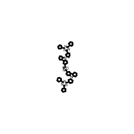 c1ccc(-c2nc(-c3ccccc3)nc(-c3cccc(-n4c5ccccc5c5cc(-c6nnc(-c7ccc8c(c7)c7ccccc7n8-c7cccc(-c8nc(-c9ccccc9)nc(-c9ccccc9)n8)c7)o6)ccc54)c3)n2)cc1